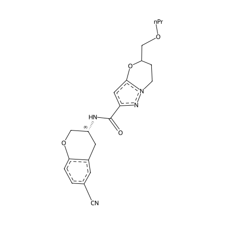 CCCOCC1CCn2nc(C(=O)N[C@H]3COc4ccc(C#N)cc4C3)cc2O1